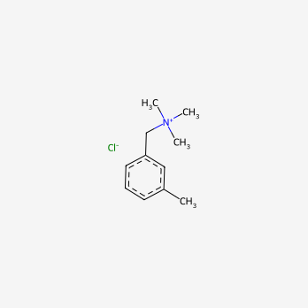 Cc1cccc(C[N+](C)(C)C)c1.[Cl-]